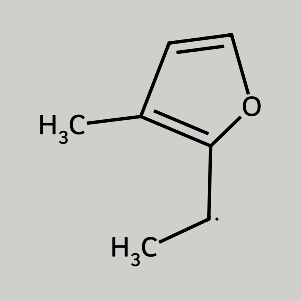 C[CH]c1occc1C